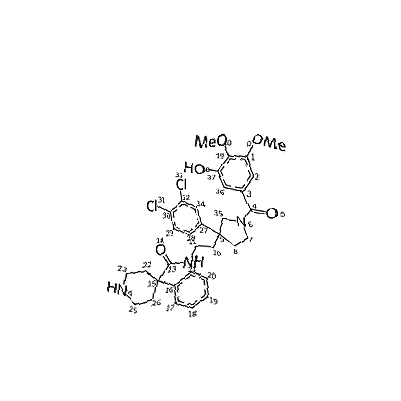 COc1cc(C(=O)N2CCC(CCNC(=O)C3(c4ccccc4)CCNCC3)(c3ccc(Cl)c(Cl)c3)C2)cc(O)c1OC